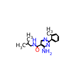 Cc1ccccc1-c1ncc(C(=O)NCC(C)C)c(N)n1